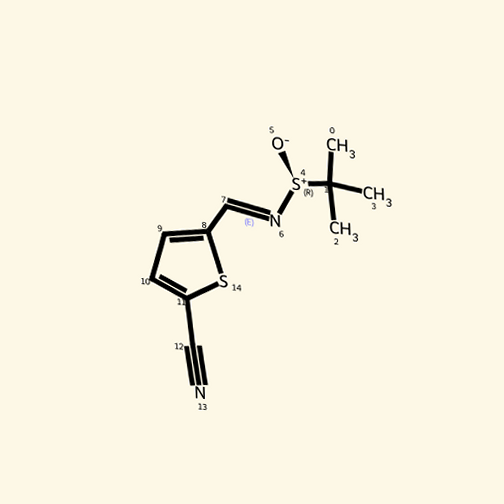 CC(C)(C)[S@+]([O-])/N=C/c1ccc(C#N)s1